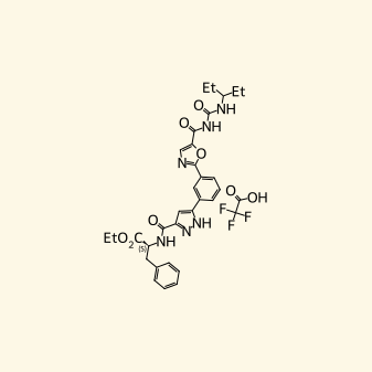 CCOC(=O)[C@H](Cc1ccccc1)NC(=O)c1cc(-c2cccc(-c3ncc(C(=O)NC(=O)NC(CC)CC)o3)c2)[nH]n1.O=C(O)C(F)(F)F